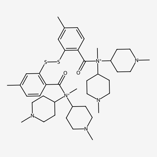 Cc1ccc(C(=O)[N+](C)(C2CCN(C)CC2)C2CCN(C)CC2)c(SSc2cc(C)ccc2C(=O)[N+](C)(C2CCN(C)CC2)C2CCN(C)CC2)c1